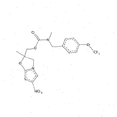 CN(Cc1ccc(OC(F)(F)F)cc1)C(=O)OCC1(C)Cn2cc([N+](=O)[O-])nc2O1